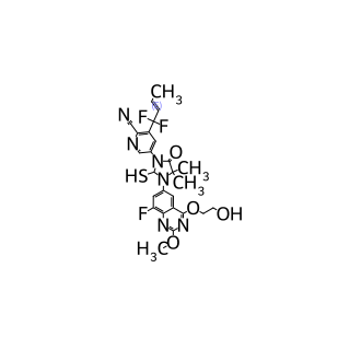 C/C=C/C(F)(F)c1cc(N2C(=O)C(C)(C)N(c3cc(F)c4nc(OC)nc(OCCO)c4c3)C2S)cnc1C#N